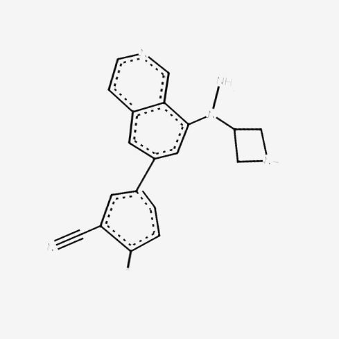 N#Cc1cc(-c2cc(N(N)C3CNC3)c3cnccc3c2)ccc1F